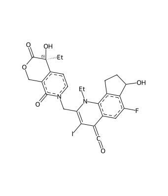 CCN1C(Cn2ccc3c(c2=O)COC(=O)[C@]3(O)CC)=C(I)C(=C=O)c2cc(F)c3c(c21)CCC3O